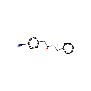 N#Cc1ccc(CC(=O)NCc2cc[c]cc2)cc1